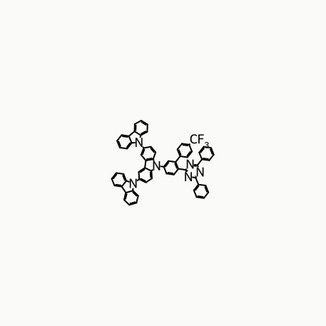 FC(F)(F)c1ccc(-c2cc(-n3c4ccc(-n5c6ccccc6c6ccccc65)cc4c4cc(-n5c6ccccc6c6ccccc65)ccc43)ccc2-c2nc(-c3ccccc3)nc(-c3ccccc3)n2)cc1